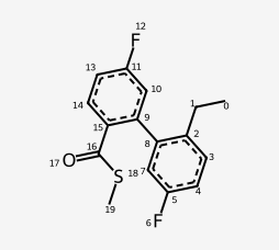 CCc1ccc(F)cc1-c1cc(F)ccc1C(=O)SC